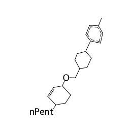 CCCCCC1C=CC(OCC2CCC(c3ccc(C)cc3)CC2)CC1